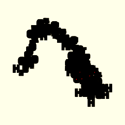 BC1CC(=O)N(CCCOCCC(=O)N[C@@H](C)C(=O)N[C@@H](C)C(=O)Nc2ccc(COC(=O)NCC34OC5c6c(C)cc7c(OC)c8c(c(O)c7c6O[C@](OC)(C5O3)[C@]4(CBr)OCN(CCS(C)(=O)=O)C(=O)OCc3ccc(O[C@@H]4O[C@H](C(=O)O)[C@@H](O)[C@H](O)[C@H]4O)cc3)C(=O)CCC8)cc2)C1=O